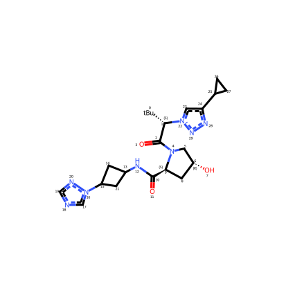 CC(C)(C)[C@@H](C(=O)N1C[C@H](O)C[C@H]1C(=O)NC1CC(n2cncn2)C1)n1cc(C2CC2)nn1